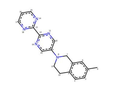 Cc1ccc2c(c1)CN(c1cnc(-c3ncccn3)nc1)CC2